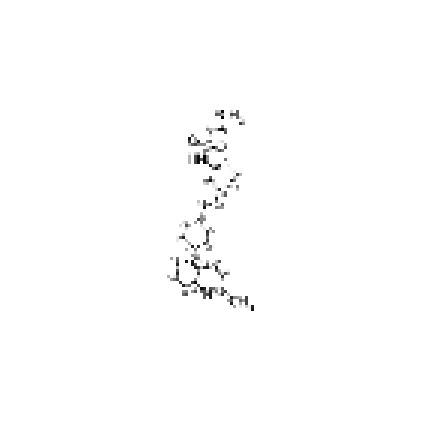 CCCS(=O)(=O)Nc1cccc(CCN2CCN(c3cccc4nc(C)ccc34)CC2)c1